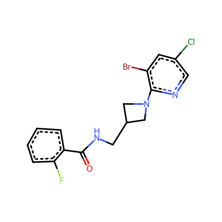 O=C(NCC1CN(c2ncc(Cl)cc2Br)C1)c1ccccc1F